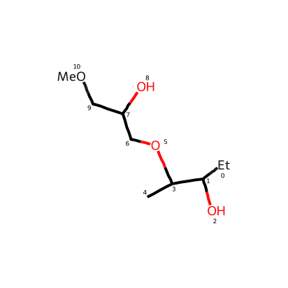 CCC(O)C(C)OCC(O)COC